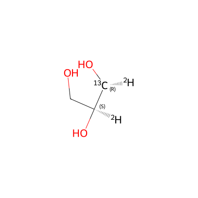 [2H][13C@@H](O)[C@@]([2H])(O)CO